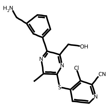 Cc1nc(-c2cccc(CN)c2)c(CO)nc1Sc1ccnc(C#N)c1Cl